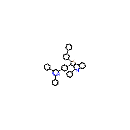 c1ccc(-c2cccc(-c3sc4c(c(-c5ccccc5)nc5ccccc54)c3-c3ccc(-c4cc(-c5ccccc5)nc(-c5ccccc5)n4)cc3)c2)cc1